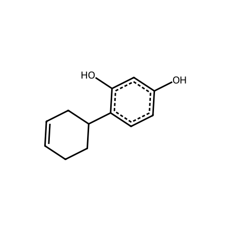 Oc1ccc(C2CC=CCC2)c(O)c1